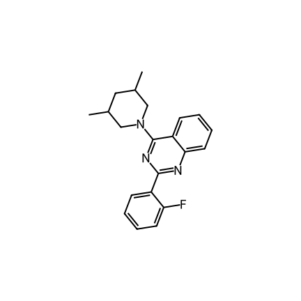 CC1CC(C)CN(c2nc(-c3ccccc3F)nc3ccccc23)C1